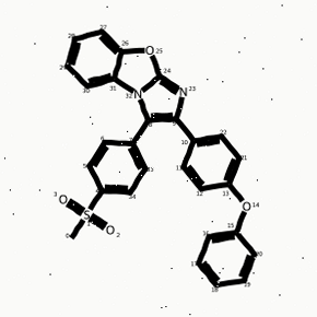 CS(=O)(=O)c1ccc(-c2c(-c3ccc(Oc4ccccc4)cc3)nc3oc4ccccc4n23)cc1